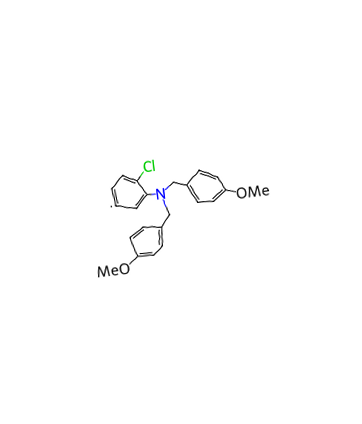 COc1ccc(CN(Cc2ccc(OC)cc2)c2c[c]ccc2Cl)cc1